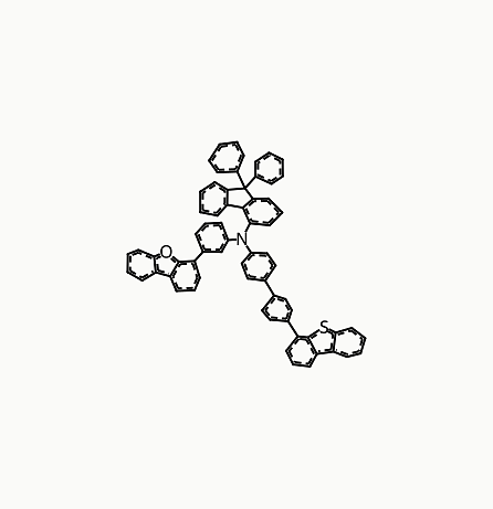 c1ccc(C2(c3ccccc3)c3ccccc3-c3c(N(c4ccc(-c5ccc(-c6cccc7c6sc6ccccc67)cc5)cc4)c4cccc(-c5cccc6c5oc5ccccc56)c4)cccc32)cc1